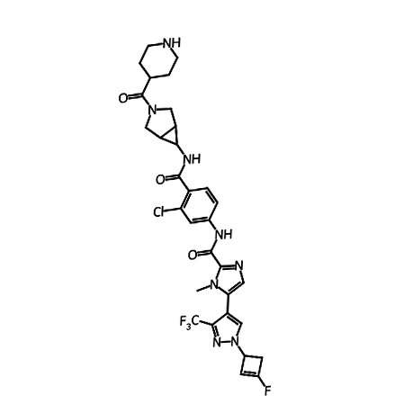 Cn1c(-c2cn(C3C=C(F)C3)nc2C(F)(F)F)cnc1C(=O)Nc1ccc(C(=O)NC2C3CN(C(=O)C4CCNCC4)CC32)c(Cl)c1